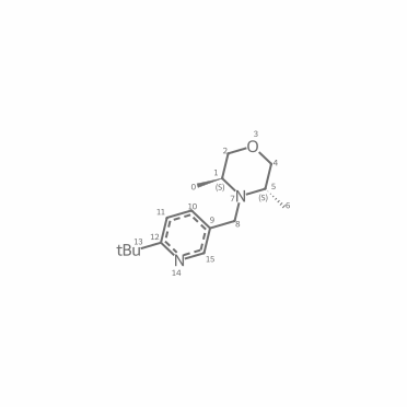 C[C@H]1COC[C@H](C)N1Cc1ccc(C(C)(C)C)nc1